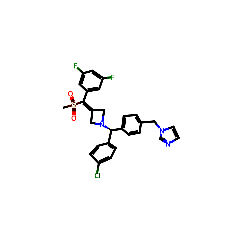 CS(=O)(=O)C(=C1CN([C@H](c2ccc(Cl)cc2)c2ccc(Cn3ccnc3)cc2)C1)c1cc(F)cc(F)c1